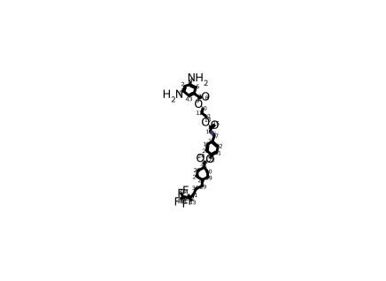 Nc1cc(N)cc(C(=O)OCCCOC(=O)/C=C/c2ccc(OC(=O)C3CCC(CCCC(F)(F)C(F)(F)F)CC3)cc2)c1